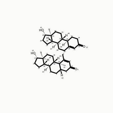 CC1=CC(=O)C[C@@H]2CC[C@H]3[C@@H]4CC[C@H](O)[C@@]4(C)CC[C@@H]3[C@@]12C.C[C@]12CC[C@H]3[C@@H](CCC4=CC(=O)CC[C@@H]43)[C@@H]1CC[C@@H]2O